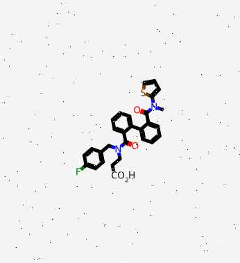 CN(C(=O)c1ccccc1-c1ccccc1C(=O)N(CCC(=O)O)Cc1ccc(F)cc1)c1cccs1